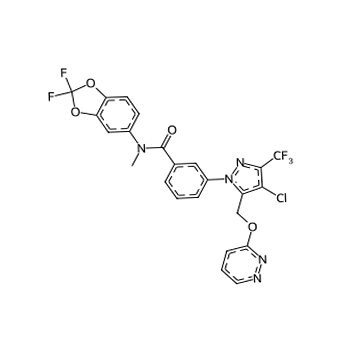 CN(C(=O)c1cccc(-n2nc(C(F)(F)F)c(Cl)c2COc2cccnn2)c1)c1ccc2c(c1)OC(F)(F)O2